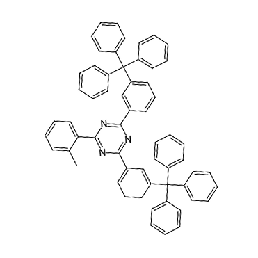 Cc1ccccc1-c1nc(C2=CCCC(C(c3ccccc3)(c3ccccc3)c3ccccc3)=C2)nc(-c2cccc(C(c3ccccc3)(c3ccccc3)c3ccccc3)c2)n1